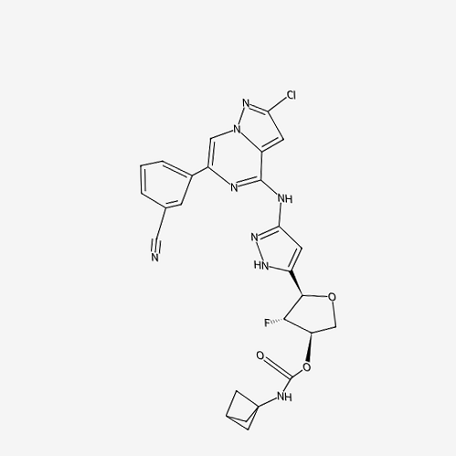 N#Cc1cccc(-c2cn3nc(Cl)cc3c(Nc3cc([C@H]4OC[C@@H](OC(=O)NC56CC(C5)C6)[C@@H]4F)[nH]n3)n2)c1